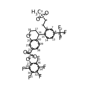 CS(=O)(=O)CCc1cc(C(F)(F)F)ccc1C1CCOc2cc(S(=O)(=O)Oc3c(F)c(F)c(F)c(F)c3F)ccc21